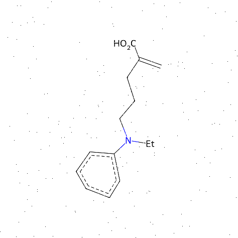 C=C(CCCN(CC)c1ccccc1)C(=O)O